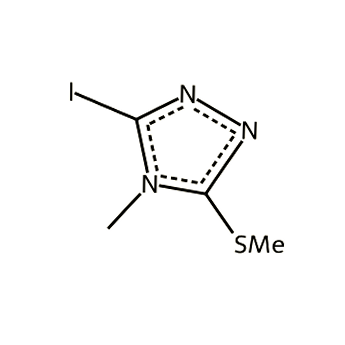 CSc1nnc(I)n1C